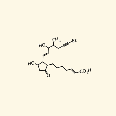 CCC#CCC(C)C(O)/C=C/[C@H]1[C@H](O)CC(=O)[C@@H]1CCCC/C=C/C(=O)O